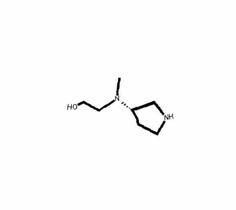 CN(CCO)[C@H]1CCNC1